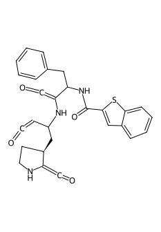 O=C=CC(C[C@@H]1CCNC1=C=O)NC(=C=O)C(Cc1ccccc1)NC(=O)c1cc2ccccc2s1